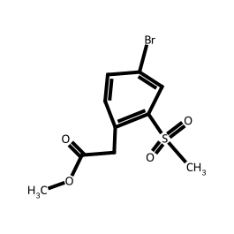 COC(=O)Cc1ccc(Br)cc1S(C)(=O)=O